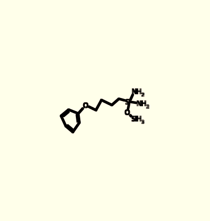 N[Si](N)(CCCCOc1ccccc1)O[SiH3]